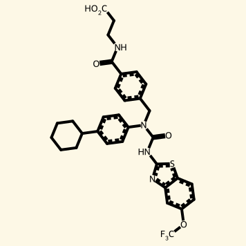 O=C(O)CCNC(=O)c1ccc(CN(C(=O)Nc2nc3cc(OC(F)(F)F)ccc3s2)c2ccc(C3CCCCC3)cc2)cc1